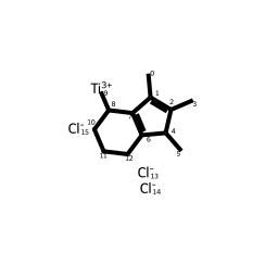 CC1=C(C)C(C)C2=C1[CH]([Ti+3])CCC2.[Cl-].[Cl-].[Cl-]